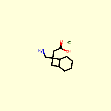 Cl.NCC1(CC(=O)O)CC2CCCCC21